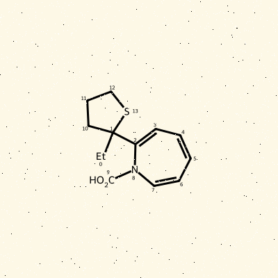 CCC1(C2=CC=CC=CN2C(=O)O)CCCS1